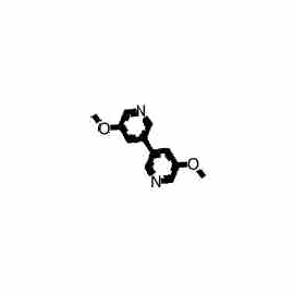 COc1cncc(-c2cncc(OC)c2)c1